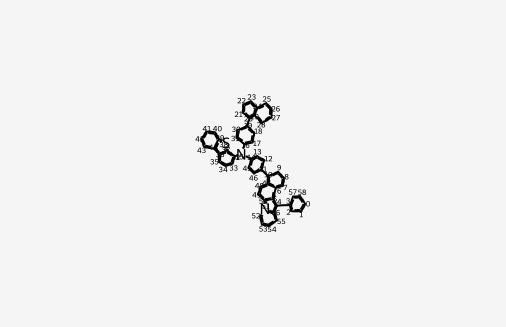 c1ccc(-c2c3c4cccc(-c5ccc(N(c6ccc(-c7cccc8ccccc78)cc6)c6cccc7c6sc6ccccc67)cc5)c4ccc3n3ccccc23)cc1